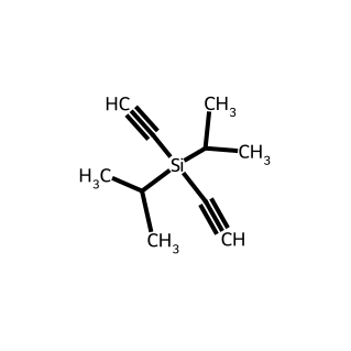 C#C[Si](C#C)(C(C)C)C(C)C